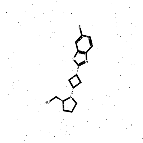 OC[C@@H]1CCCN1[C@H]1C[C@@H](c2nc3ccc(Br)cc3s2)C1